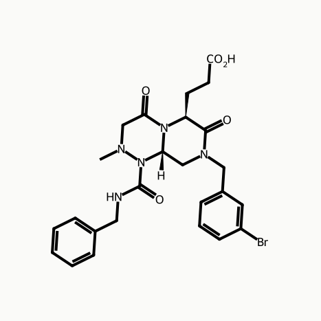 CN1CC(=O)N2[C@@H](CCC(=O)O)C(=O)N(Cc3cccc(Br)c3)C[C@@H]2N1C(=O)NCc1ccccc1